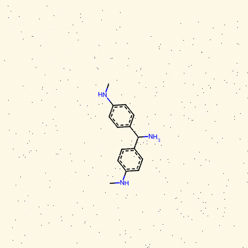 CNc1ccc(C(N)c2ccc(NC)cc2)cc1